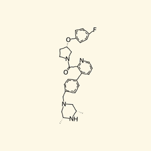 C[C@@H]1CN(Cc2ccc(-c3cccnc3C(=O)N3CC[C@H](Oc4ccc(F)cc4)C3)cc2)C[C@H](C)N1